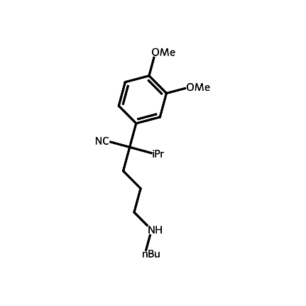 CCCCNCCCC(C#N)(c1ccc(OC)c(OC)c1)C(C)C